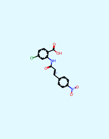 O=C(/C=C/c1ccc([N+](=O)[O-])cc1)Nc1cc(Cl)ccc1C(=O)O